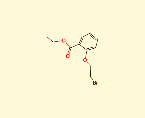 CCOC(=O)c1ccccc1OCCBr